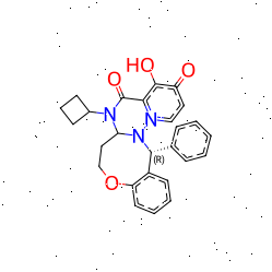 O=C1c2c(O)c(=O)ccn2N2C(CCOc3ccccc3[C@H]2c2ccccc2)N1C1CCC1